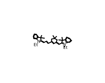 CCN1/C(=C/C=C/C2=CC(=C/C3=[N+](CC)c4ccccc4C3(C)C)/CC(C)(C)C2)C(C)(C)c2ccccc21